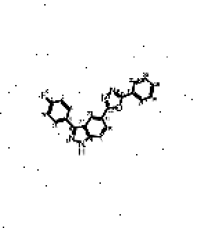 Fc1ccc(-c2n[nH]c3ccc(-c4nnc(-c5ccccc5)o4)cc23)cc1